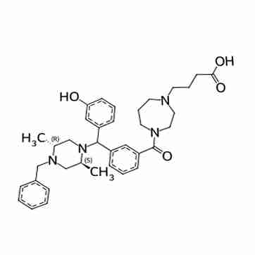 C[C@@H]1CN(C(c2cccc(O)c2)c2cccc(C(=O)N3CCCN(CCCC(=O)O)CC3)c2)[C@@H](C)CN1Cc1ccccc1